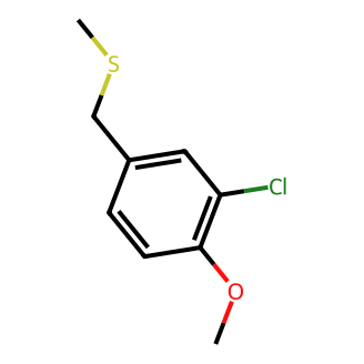 COc1ccc(CSC)cc1Cl